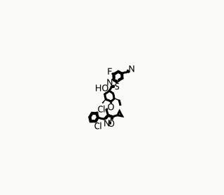 CC[C@@H]1CC(O)(c2nc3c(F)cc(C#N)cc3s2)C[C@H](C)C1OCc1c(-c2c(Cl)cccc2Cl)noc1C1CC1